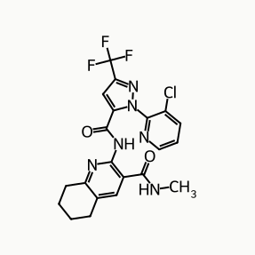 CNC(=O)c1cc2c(nc1NC(=O)c1cc(C(F)(F)F)nn1-c1ncccc1Cl)CCCC2